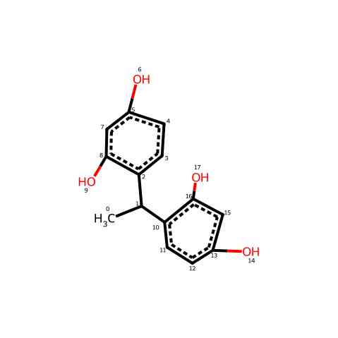 CC(c1ccc(O)cc1O)c1ccc(O)cc1O